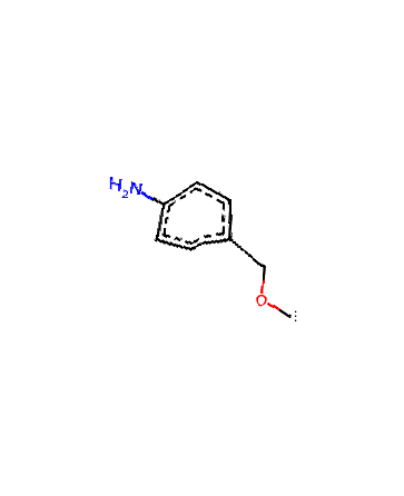 [C]OCc1ccc(N)cc1